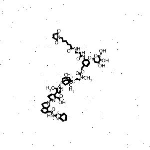 Cc1c(-c2ccc(N3CCc4cccc(C(=O)Nc5nc6ccccc6s5)c4C3)nc2C(=O)O)cnn1C[C@@]12CC3(C)CC(C)(C1)C(OCCN(C)C(=O)OCc1ccc(O[C@H]4C[C@@H](O)[C@@H](O)[C@@H](CO)O4)c(NC(=O)CCNC(=O)CCCCCN4C(=O)C=CC4=O)c1)(C3)C2